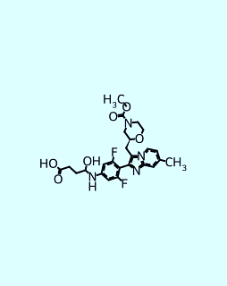 COC(=O)N1CCO[C@@H](Cc2c(-c3c(F)cc(NC(O)CCC(=O)O)cc3F)nc3cc(C)ccn23)C1